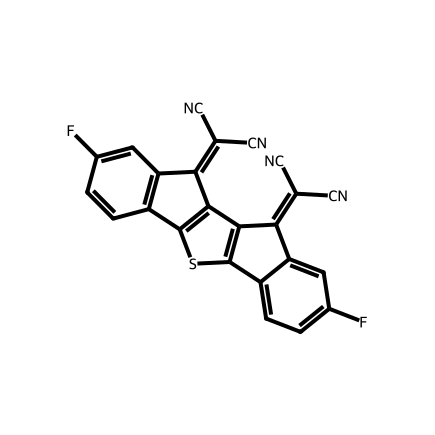 N#CC(C#N)=C1c2cc(F)ccc2-c2sc3c(c21)C(=C(C#N)C#N)c1cc(F)ccc1-3